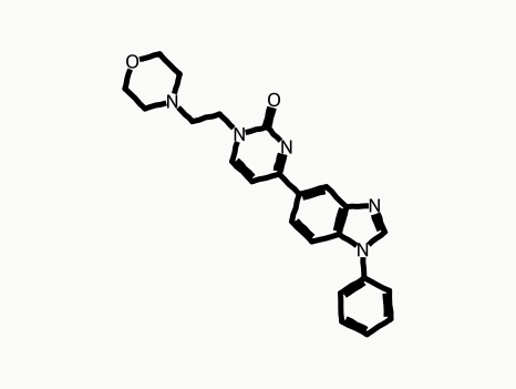 O=c1nc(-c2ccc3c(c2)ncn3-c2ccccc2)ccn1CCN1CCOCC1